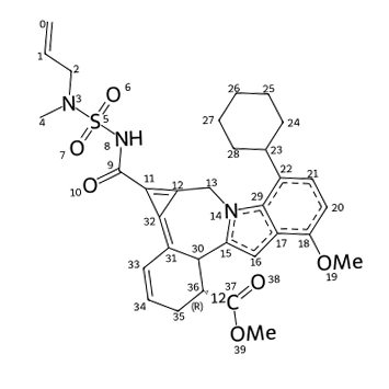 C=CCN(C)S(=O)(=O)NC(=O)C1=C2Cn3c(cc4c(OC)ccc(C5CCCCC5)c43)C3C(=C21)C=CC[C@H]3[12C](=O)OC